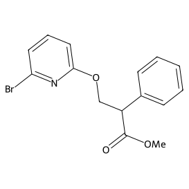 COC(=O)C(COc1cccc(Br)n1)c1ccccc1